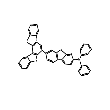 c1ccc(N(c2ccccc2)c2ccc3c(c2)oc2cc(-c4cc5c6ccccc6sc5c5c4oc4ccccc45)ccc23)cc1